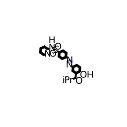 CC(C)C(=O)c1cc(/N=N/c2ccc(S(=O)(=O)Nc3ccccn3)cc2)ccc1O